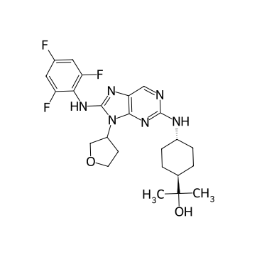 CC(C)(O)[C@H]1CC[C@H](Nc2ncc3nc(Nc4c(F)cc(F)cc4F)n(C4CCOC4)c3n2)CC1